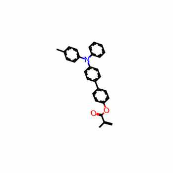 C=C(C)C(=O)Oc1ccc(-c2ccc(N(c3ccccc3)c3ccc(C)cc3)cc2)cc1